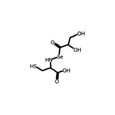 O=C([Se]NC(CS)C(=O)O)C(O)CO